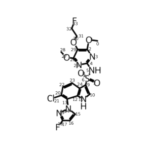 COc1nc(NS(=O)(=O)c2c[nH]c3c(-n4ccc(F)n4)c(Cl)ccc23)nc(OC)c1OCCF